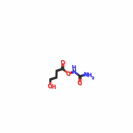 NC(=O)NOC(=O)CCCO